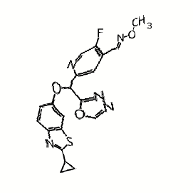 CO/N=C/c1cc(C(Oc2ccc3nc(C4CC4)sc3c2)c2nnco2)ncc1F